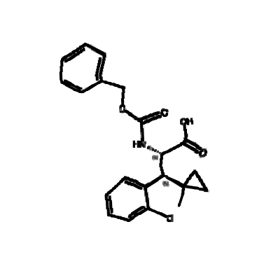 CC1([C@@H](c2ccccc2Cl)[C@H](NC(=O)OCc2ccccc2)C(=O)O)CC1